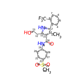 Cc1c(-c2ccccc2C(F)(F)F)[nH]c(CCO)c1C(=O)Nc1ccc(S(C)(=O)=O)cc1